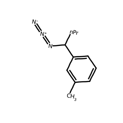 CCCC(N=[N+]=[N-])c1cccc(C)c1